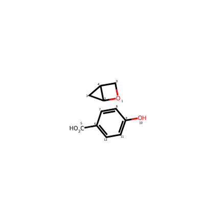 C1OC2CC12.O=C(O)c1ccc(O)cc1